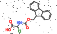 O=C(NC(Cl)C(=O)O)OCC1c2ccccc2-c2ccccc21